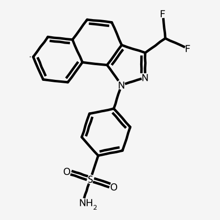 NS(=O)(=O)c1ccc(-n2nc(C(F)F)c3ccc4c[c]ccc4c32)cc1